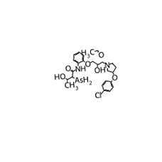 CC(O)C([AsH2])C(=O)Nc1ccccc1OCC(O)CN1CCC(Oc2ccc(Cl)cc2)C1.CC=O